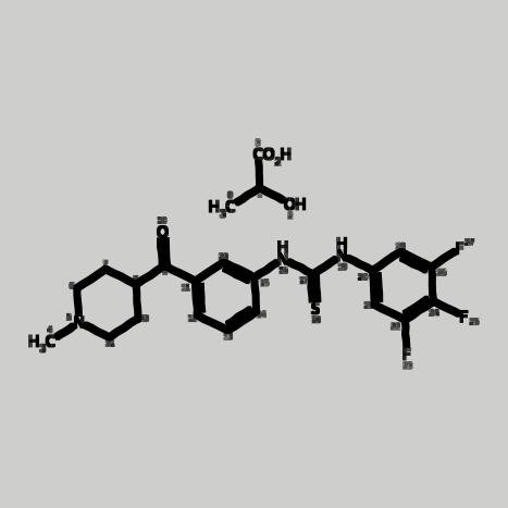 CC(O)C(=O)O.CN1CCC(C(=O)c2cccc(NC(=S)Nc3cc(F)c(F)c(F)c3)c2)CC1